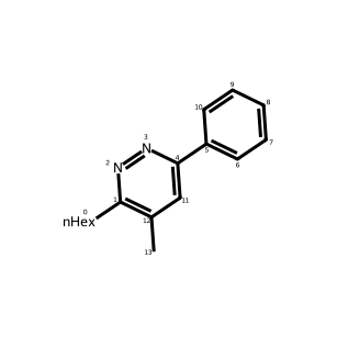 CCCCCCc1nnc(-c2ccccc2)cc1C